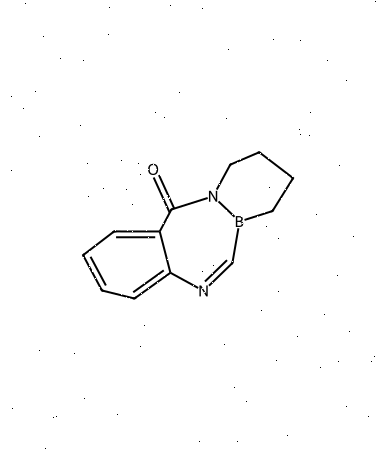 O=C1c2ccccc2N=CB2CCCCN21